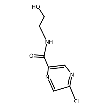 O=C(NCCO)c1cnc(Cl)cn1